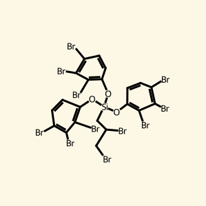 BrCC(Br)C[Si](Oc1ccc(Br)c(Br)c1Br)(Oc1ccc(Br)c(Br)c1Br)Oc1ccc(Br)c(Br)c1Br